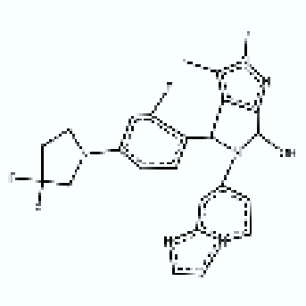 Cc1c2c(nn1C)C(O)N(c1ccn3ccnc3c1)C2c1ccc(N2CCC(F)(F)C2)cc1F